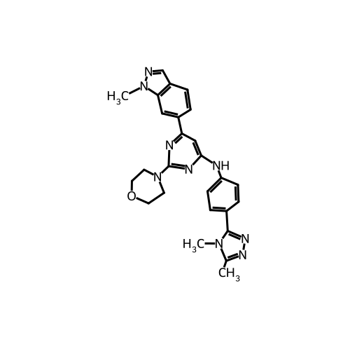 Cc1nnc(-c2ccc(Nc3cc(-c4ccc5cnn(C)c5c4)nc(N4CCOCC4)n3)cc2)n1C